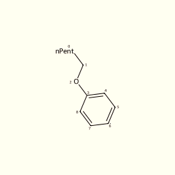 [CH2]CCCCCOc1cc[c]cc1